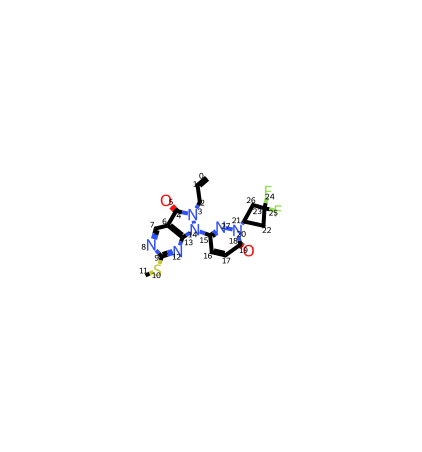 C=CCn1c(=O)c2cnc(SC)nc2n1-c1ccc(=O)n(C2CC(F)(F)C2)n1